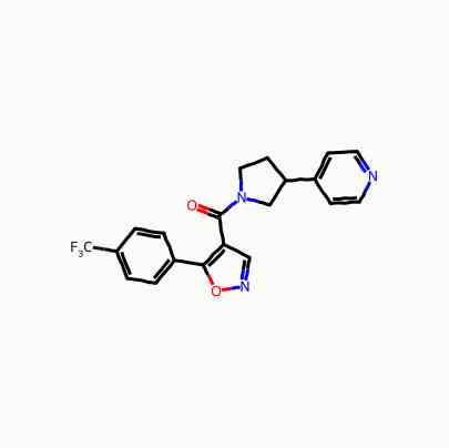 O=C(c1cnoc1-c1ccc(C(F)(F)F)cc1)N1CCC(c2ccncc2)C1